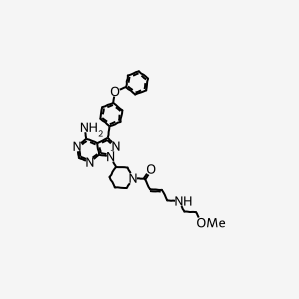 COCCNCC=CC(=O)N1CCCC(n2nc(-c3ccc(Oc4ccccc4)cc3)c3c(N)ncnc32)C1